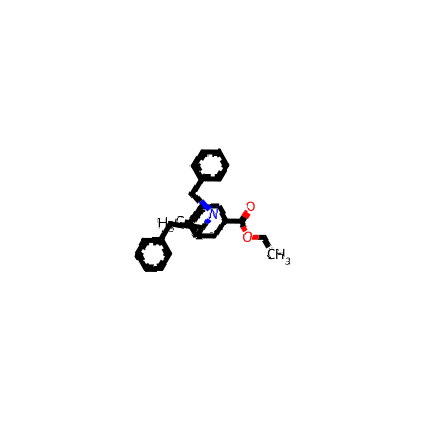 CCOC(=O)C1CC2C(C)=CC1N(Cc1ccccc1)C2Cc1ccccc1